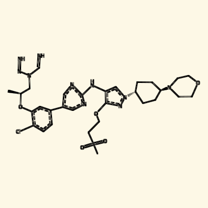 C[C@@H](CN(C=N)N=N)Oc1cc(-c2cnc(Nc3cn([C@H]4CC[C@H](N5CCOCC5)CC4)nc3OCCS(C)(=O)=O)nc2)ccc1Cl